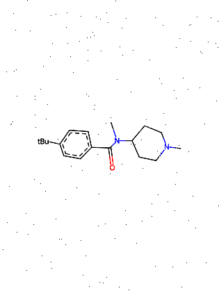 CN1CCC(N(C)C(=O)c2ccc(C(C)(C)C)cc2)CC1